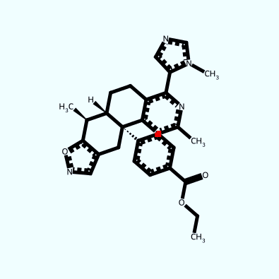 CCOC(=O)c1ccc([C@]23Cc4cnoc4[C@@H](C)[C@@H]2CCc2c(-c4cncn4C)nc(C)nc23)cc1